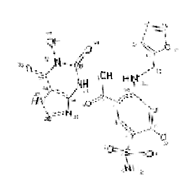 NS(=O)(=O)c1cc(C(=O)O)c(NCc2ccco2)cc1Cl.O=c1[nH]c2nc[nH]c2c(=O)n1O